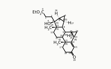 CCOC(=O)CC[C@]1(O)[C@H]2C[C@H]2C2C3C(CC[C@@]21C)[C@@]1(C)CCC(=O)C=C1[C@@H]1C[C@H]31